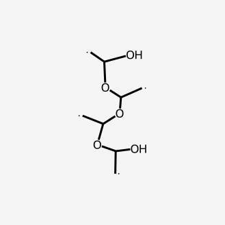 [CH2]C(O)OC([CH2])OC([CH2])OC([CH2])O